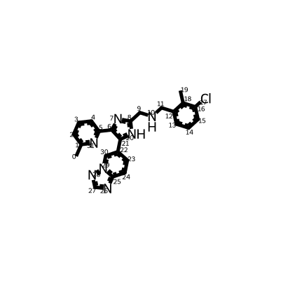 Cc1cccc(-c2nc(CNCc3cccc(Cl)c3C)[nH]c2-c2ccc3ncnn3c2)n1